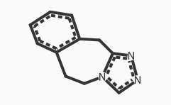 c1ccc2c(c1)CCn1cnnc1C2